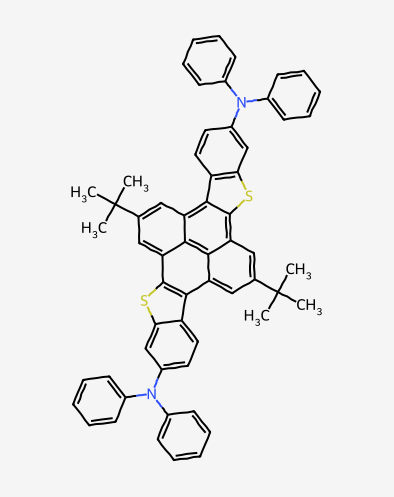 CC(C)(C)c1cc2c3sc4cc(N(c5ccccc5)c5ccccc5)ccc4c3c3cc(C(C)(C)C)cc4c5sc6cc(N(c7ccccc7)c7ccccc7)ccc6c5c(c1)c2c43